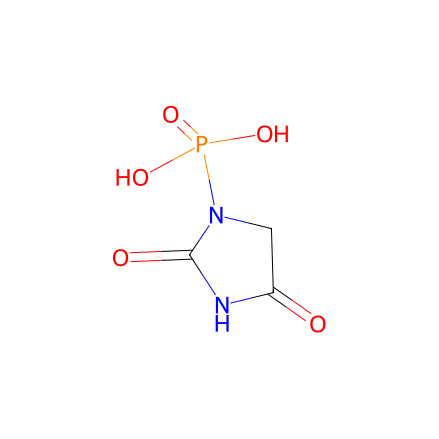 O=C1CN(P(=O)(O)O)C(=O)N1